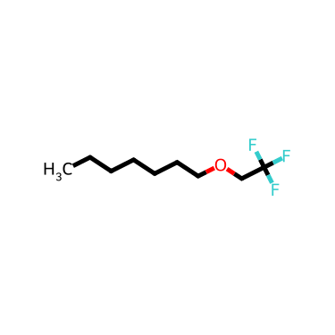 CCCCCCCOCC(F)(F)F